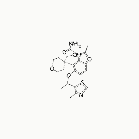 Cc1ncsc1C(C)Oc1ccc2oc(C)c(C(N)=O)c2c1C1(CO)CCOCC1